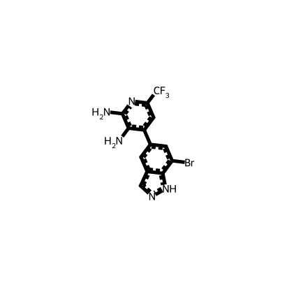 Nc1nc(C(F)(F)F)cc(-c2cc(Br)c3[nH]ncc3c2)c1N